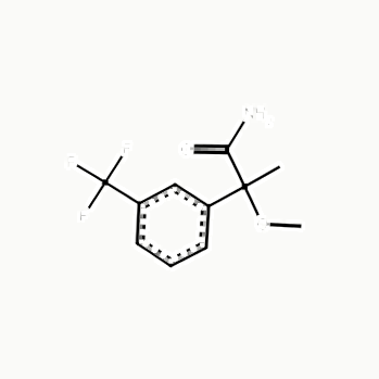 COC(C)(C(N)=O)c1cccc(C(F)(F)F)c1